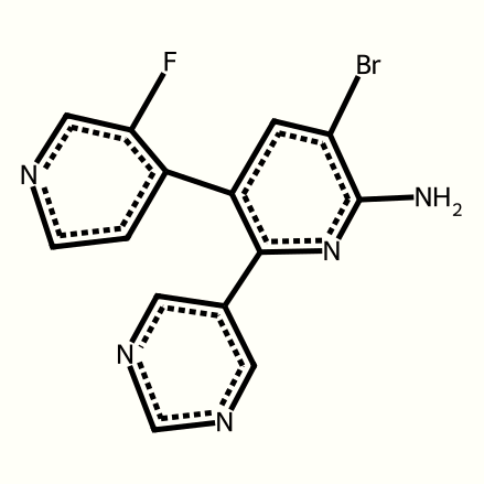 Nc1nc(-c2cncnc2)c(-c2ccncc2F)cc1Br